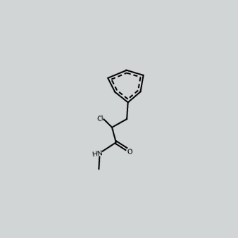 CNC(=O)C(Cl)Cc1ccccc1